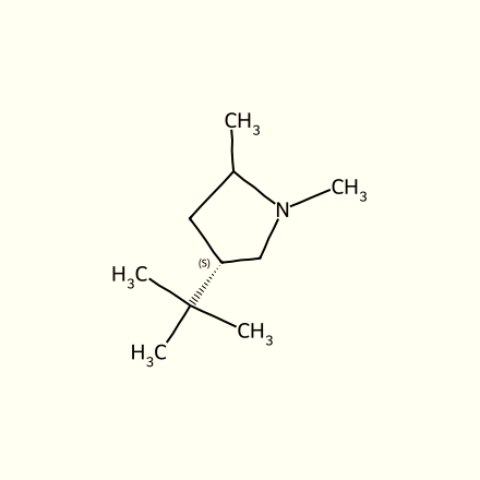 CC1C[C@@H](C(C)(C)C)CN1C